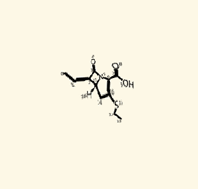 C/C=C1\C(=O)N2C(C(=O)O)=C(SCC)C[C@H]12